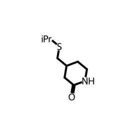 CC(C)SCC1CCNC(=O)C1